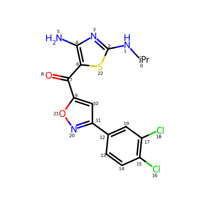 CC(C)Nc1nc(N)c(C(=O)c2cc(-c3ccc(Cl)c(Cl)c3)no2)s1